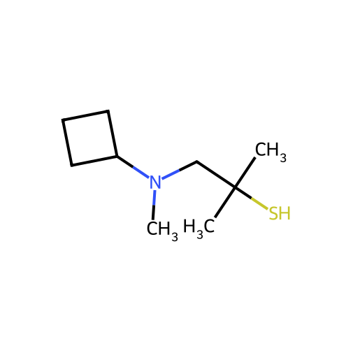 CN(CC(C)(C)S)C1CCC1